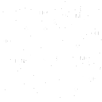 N[C@@H](CS(=O)(=O)O)C(=O)O.N[C@@H](CSSC[C@H](N)C(=O)O)C(=O)O